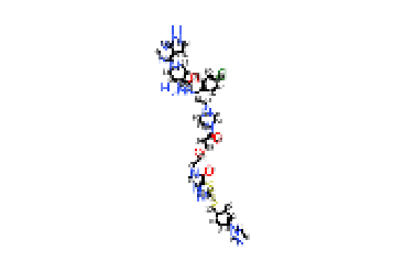 Cc1cc(-n2ccnc2)ccc1CSc1nnc(C(=O)N(C)CCOCCC(=O)N2CCN(CC[C@H](NC(=O)C3(N)CCN(c4ncnc5[nH]ccc45)CC3)c3ccc(Cl)cc3)CC2)s1